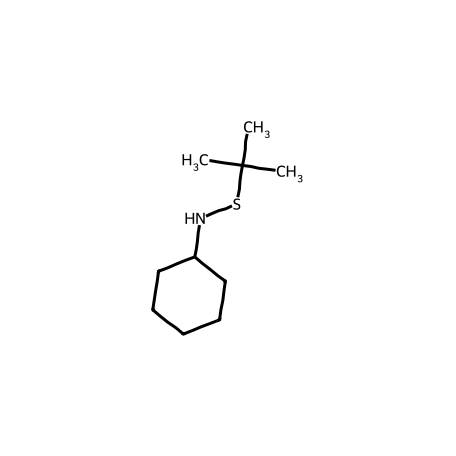 CC(C)(C)SNC1CCCCC1